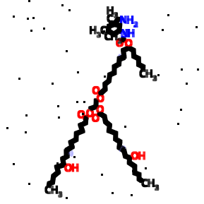 CCCCCCC(O)C/C=C/CCCCCCCC(=O)OCC(COC(=O)CCCCCCC/C=C/CC(CCCCCC)OC(=O)NC1CC(C)(C)CC(C)(CN)C1)OC(=O)CCCCCCC/C=C/CC(O)CCCCCC